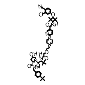 CC(C)(C)c1ccc(CNC(=O)[C@@H]2C[C@@H](O)CN2C(=O)[C@@H](NC(=O)COCCN2CCN(c3ccc(C(=O)NC4C(C)(C)C(Oc5ccc(C#N)c(Cl)c5)C4(C)C)cn3)CC2)C(C)(C)C)cc1